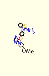 COCC1CCN(c2nccnc2Oc2ccc(N3c4ccccc4SC3N)cc2)CC1